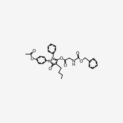 CCCCc1c(OC(=O)CNC(=O)OCc2ccccc2)n(-c2ccccc2)n(-c2ccc(OC(C)=O)cc2)c1=O